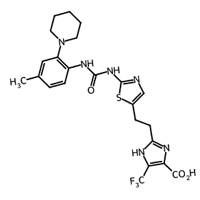 Cc1ccc(NC(=O)Nc2ncc(CCc3nc(C(=O)O)c(C(F)(F)F)[nH]3)s2)c(N2CCCCC2)c1